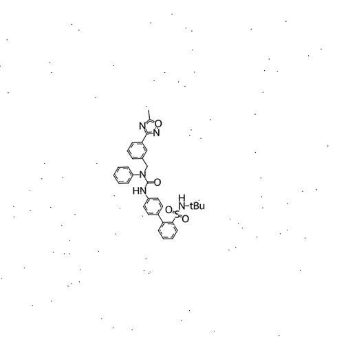 Cc1nc(-c2cccc(CN(C(=O)Nc3ccc(-c4ccccc4S(=O)(=O)NC(C)(C)C)cc3)c3ccccc3)c2)no1